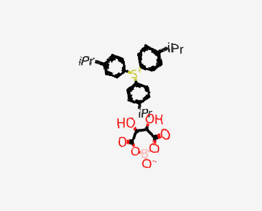 CC(C)c1ccc([S+](c2ccc(C(C)C)cc2)c2ccc(C(C)C)cc2)cc1.O=C1OB([O-])OC(=O)C(O)C1O